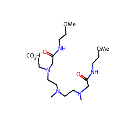 COCCNC(=O)CN(C)CCN(C)CCN(CC(=O)O)CC(=O)NCCOC